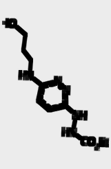 CCOC(=O)NNc1ccc(NCCCO)nn1